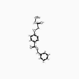 CC(C)(C)OC(=O)COc1ccc(C(=O)OCc2ccccc2)cc1